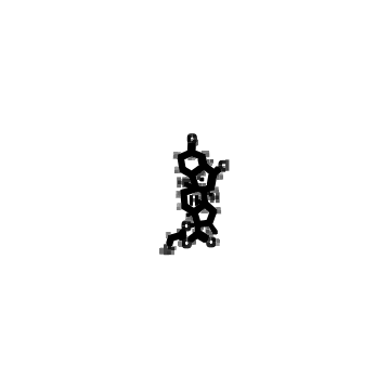 CC(=O)[C@@]1(OC(=O)CBr)[C@H](C)C[C@H]2[C@@H]3C=C(Cl)C4=CC(=O)CC[C@]4(C)[C@H]3CC[C@@]21C